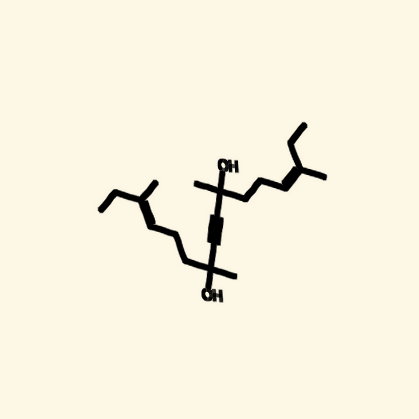 CCC(C)=CCCC(C)(O)C#CC(C)(O)CCC=C(C)CC